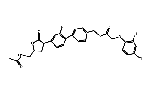 CC(=O)NC[C@@H]1CC(c2ccc(-c3ccc(CNC(=O)COc4ccc(Cl)cc4Cl)cc3)c(F)c2)C(=O)O1